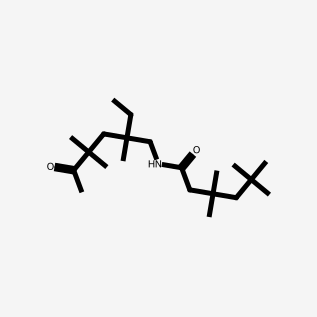 CCC(C)(CNC(=O)CC(C)(C)CC(C)(C)C)CC(C)(C)C(C)=O